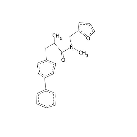 CC(Cc1ccc(-c2ccccc2)cc1)C(=O)N(C)Cc1ccco1